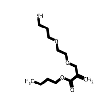 C=C(COCCOCCCS)C(=O)OCCCC